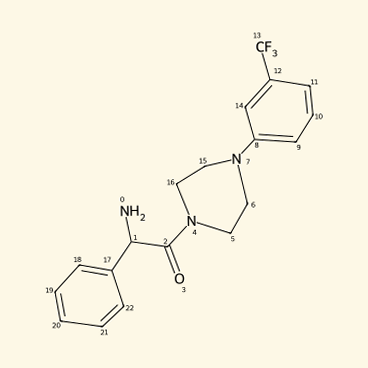 NC(C(=O)N1CCN(c2cccc(C(F)(F)F)c2)CC1)c1ccccc1